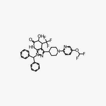 O=C1Nc2c(c(C3CCN(c4ccc(OC(F)F)cn4)CC3)nn2C(c2ccccc2)c2ccccc2)C(C(F)(F)F)C1O